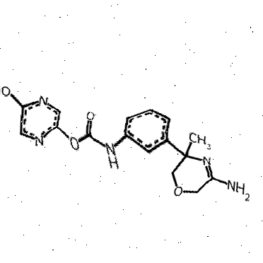 CC1(c2cccc(NC(=O)Oc3cnc(O)cn3)c2)COCC(N)=N1